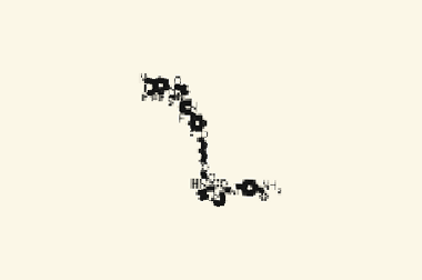 CC(C)(C)C(NC(=O)COCCCCCOc1ccc(-c2ncc(N3C(=S)N(c4ccc(C#N)c(C(F)(F)F)c4F)C(=O)C3(C)C)cc2F)cc1F)C(=O)N1CCC[C@H]1C(=O)NCc1ccc(C(N)=O)cc1